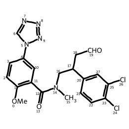 COc1ccc(-n2cnnn2)cc1C(=O)N(C)CC(CC=O)c1ccc(Cl)c(Cl)c1